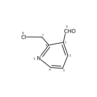 O=Cc1cccnc1CCl